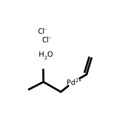 C=[CH][Pd+2][CH2]C(C)C.O.[Cl-].[Cl-]